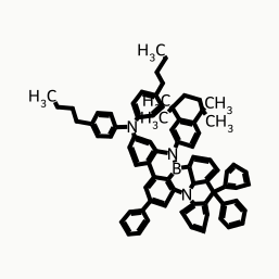 CCCCc1ccc(N(c2ccc(CCCC)cc2)c2ccc3c(c2)N(c2ccc4c(c2)C(C)(C)CCC4(C)C)B2c4c-3cc(-c3ccccc3)cc4N3c4ccccc4C(c4ccccc4)(c4ccccc4)C4=CC=CC2C43)cc1